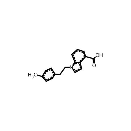 Cc1ccc(CCn2ccc3c(C(=O)O)cccc32)cc1